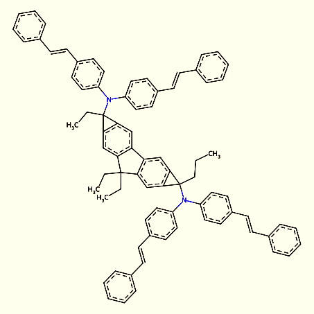 CCCC1(N(c2ccc(/C=C/c3ccccc3)cc2)c2ccc(/C=C/c3ccccc3)cc2)c2cc3c(cc21)C(CC)(CC)c1cc2c(cc1-3)C2(CC)N(c1ccc(/C=C/c2ccccc2)cc1)c1ccc(/C=C/c2ccccc2)cc1